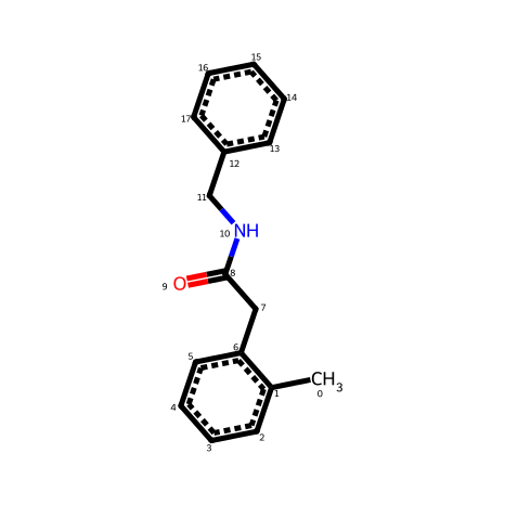 Cc1ccccc1CC(=O)NCc1ccccc1